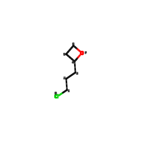 ClCCCC1CCO1